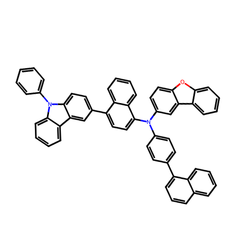 c1ccc(-n2c3ccccc3c3cc(-c4ccc(N(c5ccc(-c6cccc7ccccc67)cc5)c5ccc6oc7ccccc7c6c5)c5ccccc45)ccc32)cc1